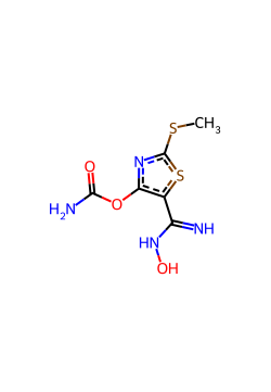 CSc1nc(OC(N)=O)c(C(=N)NO)s1